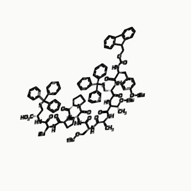 CC[C@H](C)[C@H](NC(=O)[C@@H]1CCCN1C(=O)[C@@H]1CCCN1C(=O)[C@@H](NC(=O)[C@H](COC(C)(C)C)NC(=O)[C@H](C)NC(=O)[C@@H](NC(=O)[C@H](CSC(c1ccccc1)(c1ccccc1)c1ccccc1)NC(=O)[C@H](Cc1ccc(OC(C)(C)C)cc1)NC(=O)OCC1c2ccccc2-c2ccccc21)[C@@H](C)OC(C)(C)C)[C@@H](C)CC)C(=O)N[C@@H](CSC(c1ccccc1)(c1ccccc1)c1ccccc1)C(=O)O